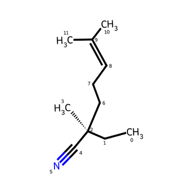 CC[C@@](C)(C#N)CCC=C(C)C